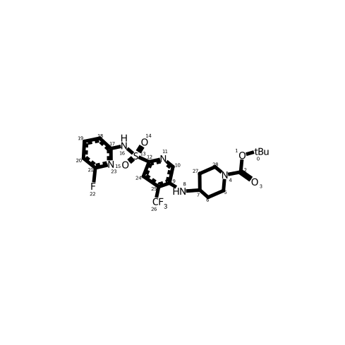 CC(C)(C)OC(=O)N1CCC(Nc2cnc(S(=O)(=O)Nc3cccc(F)n3)cc2C(F)(F)F)CC1